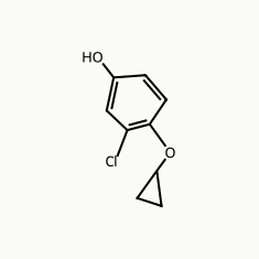 Oc1ccc(OC2CC2)c(Cl)c1